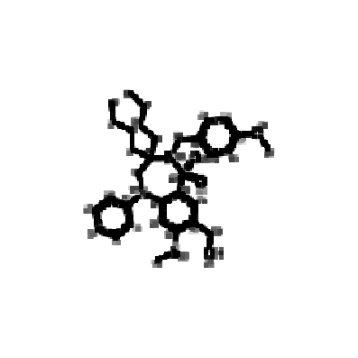 CCCCC1(CCCC)CN(c2ccccc2)c2cc(SC)c(CO)cc2S(=O)(=O)N1Cc1ccc(OC)cc1